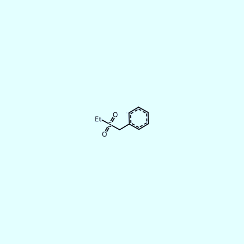 CCS(=O)(=O)Cc1[c]cccc1